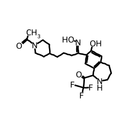 CC(=O)N1CCC(CCC/C(=N\O)c2cc3c(cc2O)CCCNC3C(=O)C(F)(F)F)CC1